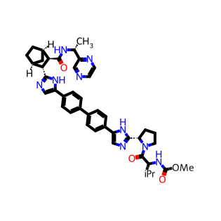 COC(=O)NC(C(=O)N1CCC[C@H]1c1ncc(-c2ccc(-c3ccc(-c4cnc([C@@H]5[C@H]6CC[C@H](C6)[C@H]5C(=O)N[C@H](C)c5cnccn5)[nH]4)cc3)cc2)[nH]1)C(C)C